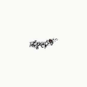 CCCC12COC(c3ccc(C(=O)Oc4cc(F)c(C(F)(F)OC(F)(F)F)c(F)c4)c(F)c3)(OC1)O2